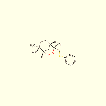 CC(=O)O[C@@]1(C)CC[C@H]2C[C@@H]1OO[C@@]2(C)CSc1ccccc1